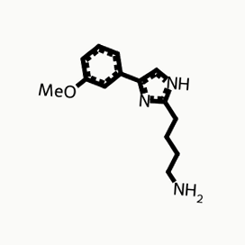 COc1cccc(-c2c[nH]c(CCCCN)n2)c1